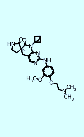 COc1cc(Nc2ncc3c(n2)N(C24CC(C2)C4)C(=O)[C@]2(CCNC2=O)C3)ccc1OCCN(C)C